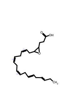 CCC=CCC=CC/C=C\C/C=C\C/C=C\CC1OC1CCC(=O)O